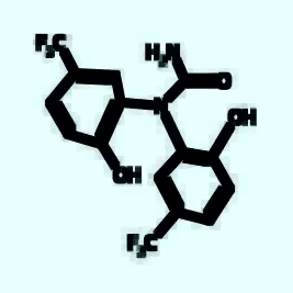 NC(=O)N(c1cc(C(F)(F)F)ccc1O)c1cc(C(F)(F)F)ccc1O